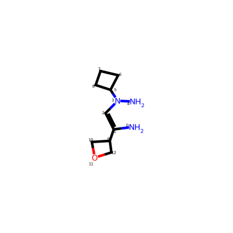 N/C(=C\N(N)C1CCC1)C1COC1